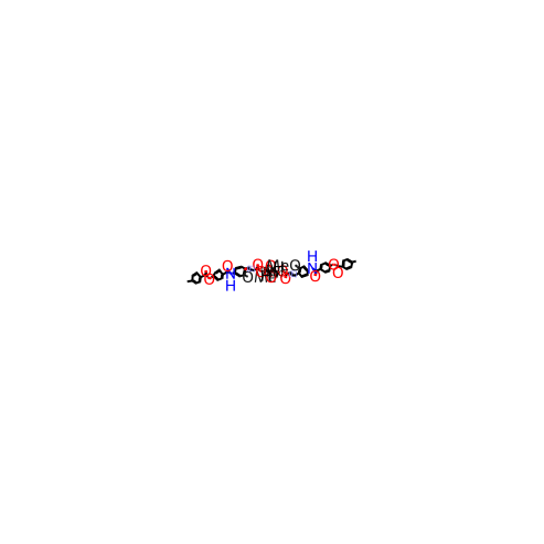 COc1cc(NC(=O)c2ccc(OC(=O)c3ccc(C)cc3)cc2)ccc1/C=C/C(=O)O[C@H]1CO[C@H]2[C@@H]1OC[C@H]2OC(=O)/C=C/c1ccc(NC(=O)c2ccc(OC(=O)c3ccc(C)cc3)cc2)cc1OC